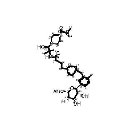 CS[C@H]1O[C@@H](c2ccc(C)c(Cc3ccc(CCCC(=O)NC(C)(C)C(O)N4CCN(C(=O)N(C)C)CC4)cc3)c2)[C@H](O)[C@@H](O)[C@@H]1O